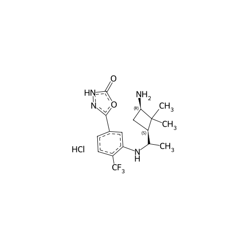 CC(Nc1cc(-c2n[nH]c(=O)o2)ccc1C(F)(F)F)[C@H]1C[C@@H](N)C1(C)C.Cl